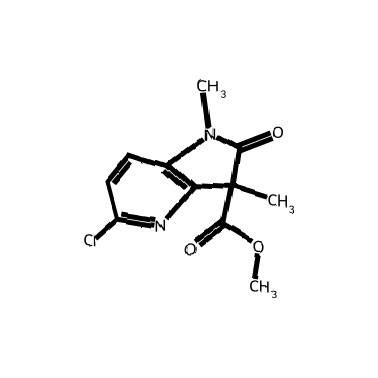 COC(=O)C1(C)C(=O)N(C)c2ccc(Cl)nc21